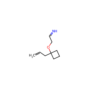 C=CCC1(OCC=N)CCC1